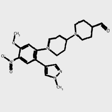 COc1cc(N2CCC(N3CCC(C=O)CC3)CC2)c(-c2cnn(C)c2)cc1[N+](=O)[O-]